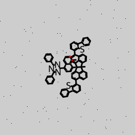 Cc1cccc2c(-c3nc(-c4ccccc4)nc(-c4ccccc4)n3)ccc(C34c5ccc(-c6cccc7c6sc6ccccc67)c6cccc(c56)C3(C)c3cccc5c(-c6cccc7c6sc6ccccc67)ccc4c35)c12